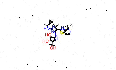 CCCc1nccc2sc(-c3c(C)nc(N[C@H](C)C4CC4)nc3N[C@@H]3C[C@H](C(C)(C)O)[C@@H](O)[C@H]3O)nc12